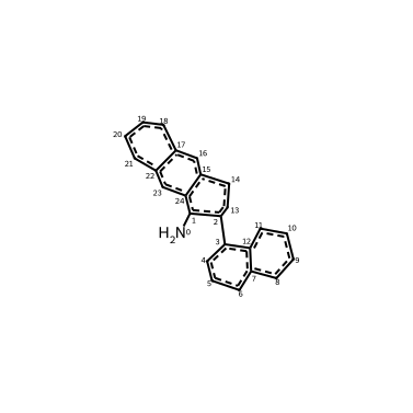 Nc1c(-c2cccc3ccccc23)ccc2cc3ccccc3cc12